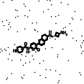 N[C@H]1C[C@H](CNC2CCc3cc(-n4ccc(NC(=O)N5CCNCC5)nc4=O)ccc3C2)C1